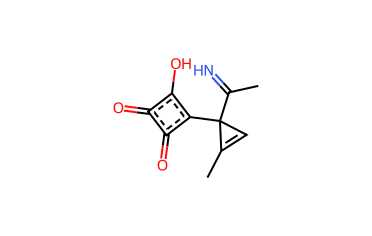 CC(=N)C1(c2c(O)c(=O)c2=O)C=C1C